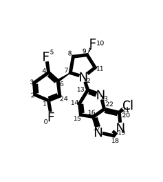 Fc1ccc(F)c([C@H]2C[C@H](F)CN2c2ccc3ncnc(Cl)c3n2)c1